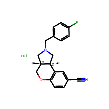 Cl.N#Cc1ccc2c(c1)[C@@H]1CN(Cc3ccc(F)cc3)C[C@H]1CO2